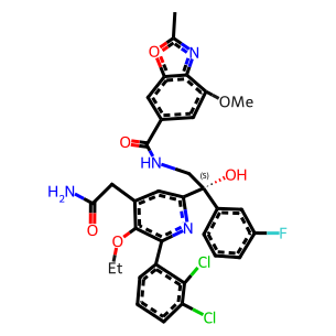 CCOc1c(CC(N)=O)cc([C@@](O)(CNC(=O)c2cc(OC)c3nc(C)oc3c2)c2cccc(F)c2)nc1-c1cccc(Cl)c1Cl